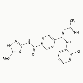 CSc1nc(NC(=O)c2ccc(/C(=C/C(=N)C(F)(F)F)Nc3ccccc3Cl)cc2)n[nH]1